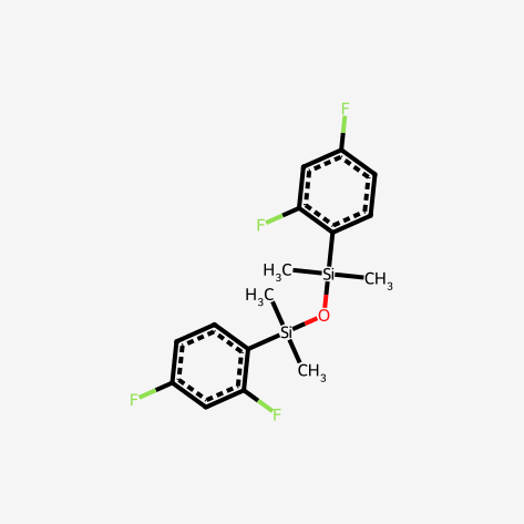 C[Si](C)(O[Si](C)(C)c1ccc(F)cc1F)c1ccc(F)cc1F